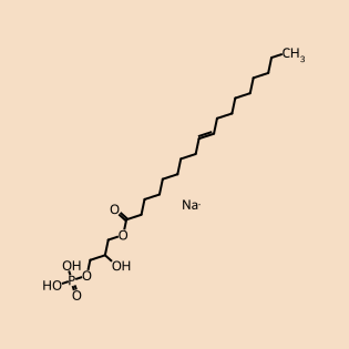 CCCCCCCC/C=C/CCCCCCCC(=O)OCC(O)COP(=O)(O)O.[Na]